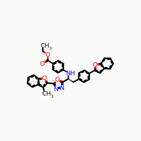 CCOC(=O)c1ccc(N[C@@H](Cc2ccc(-c3cc4ccccc4o3)cc2)c2nnc(-c3oc4ccccc4c3C)o2)cc1